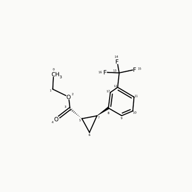 CCOC(=O)[C@H]1C[C@@H]1c1cccc(C(F)(F)F)c1